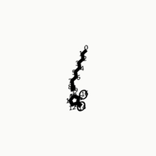 CCCCCCCCC#C[C@H]1CCC(=O)C1=O